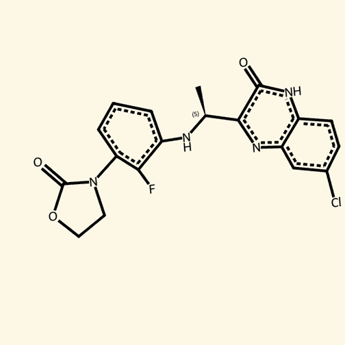 C[C@H](Nc1cccc(N2CCOC2=O)c1F)c1nc2cc(Cl)ccc2[nH]c1=O